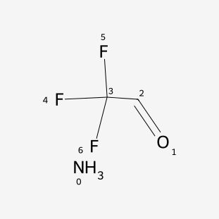 N.O=CC(F)(F)F